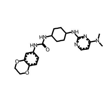 CN(C)c1ccnc(NC2CCC(NC(=O)Nc3ccc4c(c3)OCCO4)CC2)n1